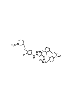 C=CCc1cccc(C)c1C(c1cc(OC)ccc1OC)N(C(=O)O)c1ccnc(Nc2ccc(OCC3CCCN(C)C3)c(F)c2)n1